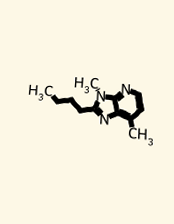 CCCCc1nc2c(C)ccnc2n1C